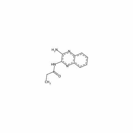 CCC(=O)Nc1nc2ccccc2nc1N